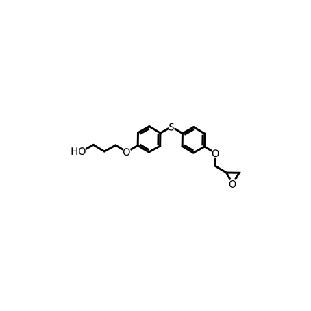 OCCCOc1ccc(Sc2ccc(OCC3CO3)cc2)cc1